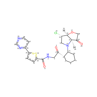 O=C(NCC(=O)[C@H]1CCCCC1N1C[C@H](Cl)[C@H]2OCC(=O)[C@H]21)c1ccc(-c2ccncn2)s1